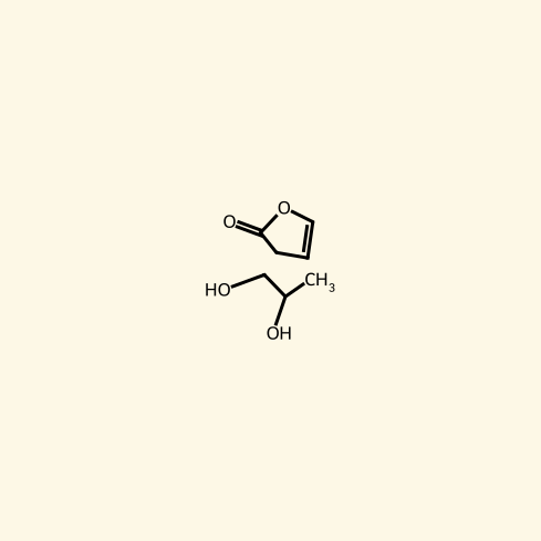 CC(O)CO.O=C1CC=CO1